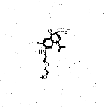 C=C(C)n1cc(C(=O)O)c(=O)c2cc(F)c(NCCOCCO)cc21